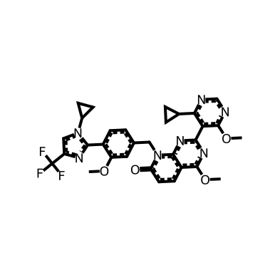 COc1cc(Cn2c(=O)ccc3c(OC)nc(-c4c(OC)ncnc4C4CC4)nc32)ccc1-c1nc(C(F)(F)F)cn1C1CC1